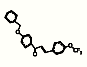 O=C(C=Cc1ccc(OC(F)(F)F)cc1)c1ccc(OCc2ccccc2)cc1